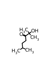 CC(C)CCC(=O)C(C)(C)O